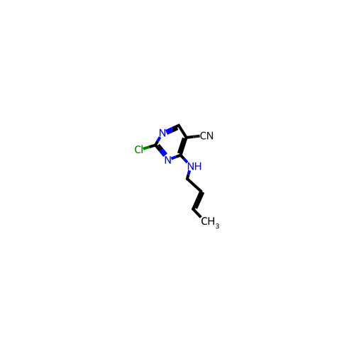 CC=CCNc1nc(Cl)ncc1C#N